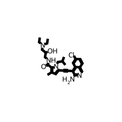 CCN(CC)CC(O)CNC(=O)c1c(C)cc(C#Cc2c(N)ncc3ccc(Cl)cc23)n1CC(C)C